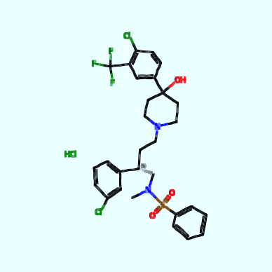 CN(C[C@@H](CCN1CCC(O)(c2ccc(Cl)c(C(F)(F)F)c2)CC1)c1cccc(Cl)c1)S(=O)(=O)c1ccccc1.Cl